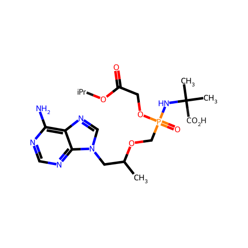 CC(C)OC(=O)COP(=O)(COC(C)Cn1cnc2c(N)ncnc21)NC(C)(C)C(=O)O